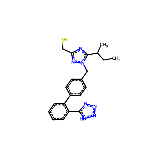 CCC(C)c1nc(CS)nn1Cc1ccc(-c2ccccc2-c2nnn[nH]2)cc1